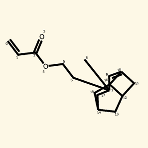 C=CC(=O)OCCC1(C)C=C2CC3CC(CC23)C1